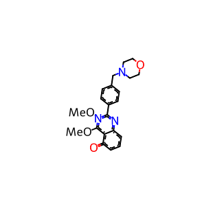 COc1c2c(=O)cccc-2nc(-c2ccc(CN3CCOCC3)cc2)n1OC